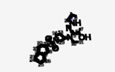 C/C=C\NN=C([C@@H](C)O)N(CC)C1CCN(S(=O)(=O)c2ccc3ccccc3c2)C1